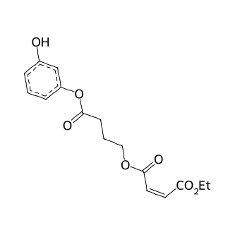 CCOC(=O)/C=C\C(=O)OCCCC(=O)Oc1cccc(O)c1